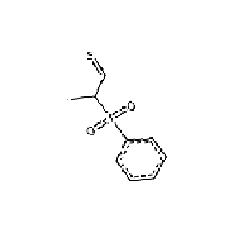 [CH2]C(C=S)S(=O)(=O)c1ccccc1